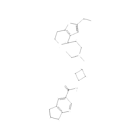 CCc1cc2c(s1)CCO[C@@]21CCN(C[C@H]2C[C@@H](NC(=O)c3cnc4c(c3)CCC4)C2)[C@@H](C)C1